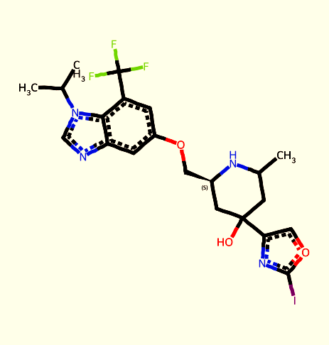 CC1CC(O)(c2coc(I)n2)C[C@@H](COc2cc(C(F)(F)F)c3c(c2)ncn3C(C)C)N1